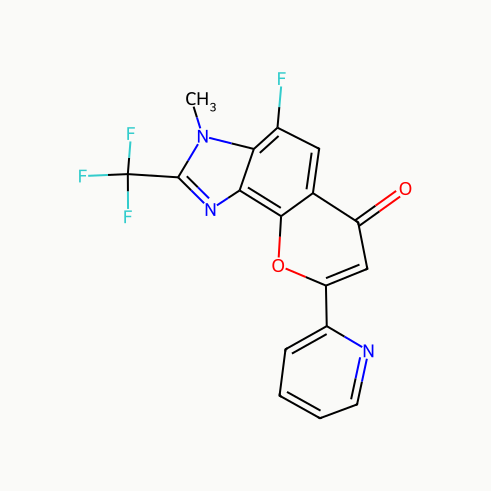 Cn1c(C(F)(F)F)nc2c3oc(-c4ccccn4)cc(=O)c3cc(F)c21